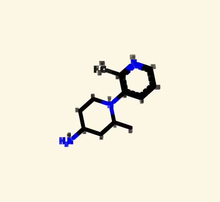 CC1CC(N)CCN1c1cccnc1C(F)(F)F